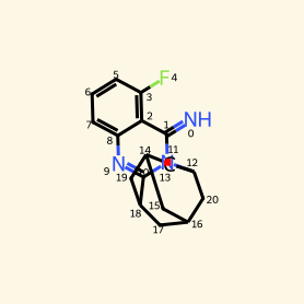 N=c1c2c(F)cccc2nc2n1C1CC3CC(CC2C3)C1